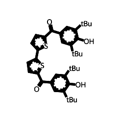 CC(C)(C)c1cc(C(=O)c2ccc(-c3ccc(C(=O)c4cc(C(C)(C)C)c(O)c(C(C)(C)C)c4)s3)s2)cc(C(C)(C)C)c1O